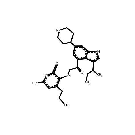 CCCc1cc(C)[nH]c(=O)c1NCC(=O)c1cc(C2CCNCC2)cc2[nH]cc(C(C)CC)c12